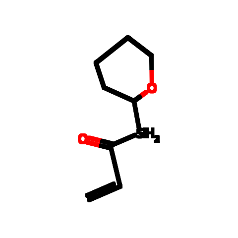 C=CC(=O)[SiH2]C1CCCCO1